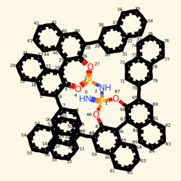 N=P1(Np2oc3c(-c4ccc5ccccc5c4)cc4ccccc4c3c3c(o2)c(-c2ccc4ccccc4c2)cc2ccccc23)Oc2c(-c3ccc4ccccc4c3)cc3ccccc3c2-c2c(c(-c3ccc4ccccc4c3)cc3ccccc23)O1